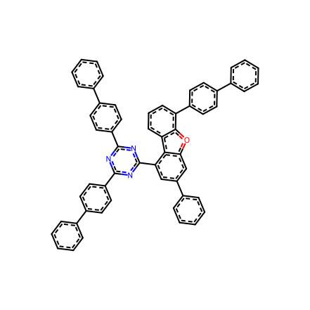 c1ccc(-c2ccc(-c3nc(-c4ccc(-c5ccccc5)cc4)nc(-c4cc(-c5ccccc5)cc5oc6c(-c7ccc(-c8ccccc8)cc7)cccc6c45)n3)cc2)cc1